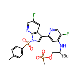 Cc1ccc(S(=O)(=O)n2cc(-c3cc(NC(COS(C)(=O)=O)C(C)(C)C)c(F)cn3)c3cc(F)cnc32)cc1